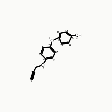 C#CCOc1ccc(Oc2ccc(O)cc2)cc1